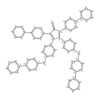 O=C1C(c2ccc(-c3ccccc3)cc2)=C(c2ccc(Oc3ccc(-c4ccccc4)cc3)cc2)C(c2ccc(Oc3ccc(-c4ccccc4)cc3)cc2)=C1c1ccc(-c2ccccc2)cc1